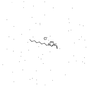 C=C[n+]1ccn(CCCCCCCC)c1.[Cl-]